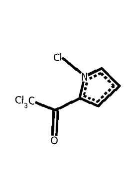 O=C(c1cccn1Cl)C(Cl)(Cl)Cl